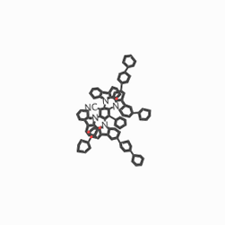 N#Cc1c(-n2c3ccccc3c3ccccc32)c(-n2c3ccc(-c4ccccc4)cc3c3cc(-c4ccc(-c5ccccc5)cc4)ccc32)c(-c2ccccc2)c(-n2c3ccc(-c4ccccc4)cc3c3cc(-c4ccc(-c5ccccc5)cc4)ccc32)c1-n1c2ccccc2c2ccccc21